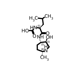 CC(C)C[C@H](NC(=O)O)C(=O)N[C@H]1CC[C@@H](C)NC[C@@H]1O